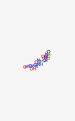 Cn1cc(-c2ccnc(-n3ccn4c(c(F)c5ccccc54)c3=O)c2CO)cc(Nc2ccc(N3CCN(C4COC4)C[C@]3(C)O)cn2)c1=O